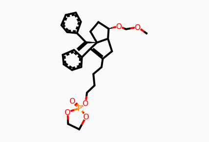 C=C(c1ccccc1)[C@@]12CC[C@@H](OCOC)C1CC(CCCCOP1(=O)OCCO1)=C2c1ccccc1